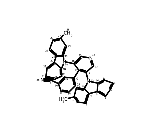 Cc1ccc2c3ccccc3n(-c3cncc(-n4c5ccccc5c5ccc(C)cc54)c3-c3cccc(C#N)c3)c2c1